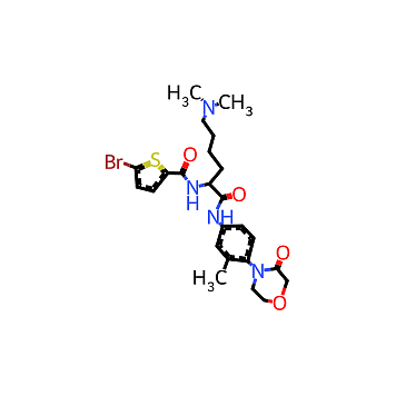 Cc1cc(NC(=O)C(CCCCN(C)C)NC(=O)c2ccc(Br)s2)ccc1N1CCOCC1=O